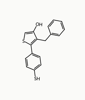 Oc1csc(-c2ccc(S)cc2)c1Cc1ccccc1